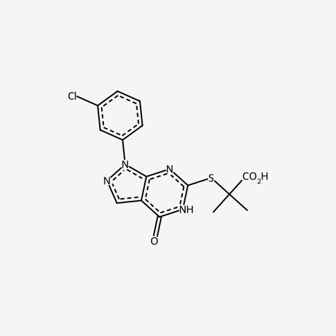 CC(C)(Sc1nc2c(cnn2-c2cccc(Cl)c2)c(=O)[nH]1)C(=O)O